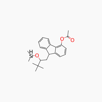 CC(=O)Oc1cccc2c1-c1ccccc1C2CC(O[SiH](C)C)C(C)(C)C